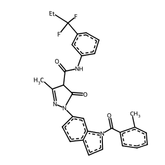 CCC(F)(F)c1cccc(NC(=O)C2C(=O)N(c3ccc4ccn(C(=O)c5ccccc5C)c4c3)N=C2C)c1